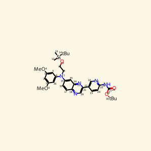 COc1cc(OC)cc(N(CCO[Si](C)(C)C(C)(C)C)c2ccc3ncc(-c4ccc(NC(=O)OC(C)(C)C)nc4)nc3c2)c1